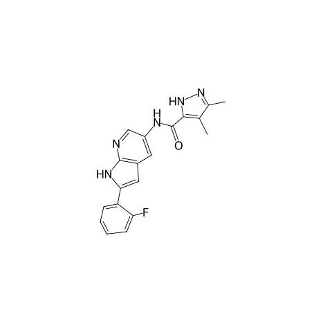 Cc1n[nH]c(C(=O)Nc2cnc3[nH]c(-c4ccccc4F)cc3c2)c1C